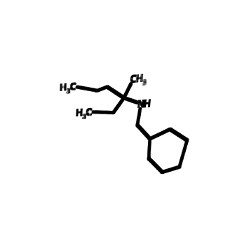 CCCC(C)(CC)NCC1CCCCC1